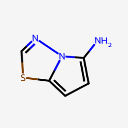 Nc1ccc2scnn12